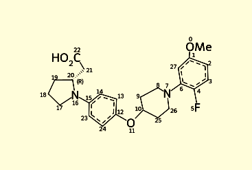 COc1ccc(F)c(N2CCC(Oc3ccc(N4CCC[C@@H]4CC(=O)O)cc3)CC2)c1